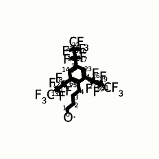 [O]CCCCc1c(C(F)(F)C(F)(F)C(F)(F)F)cc(C(F)(F)C(F)(F)C(F)(F)F)cc1C(F)(F)C(F)(F)C(F)(F)F